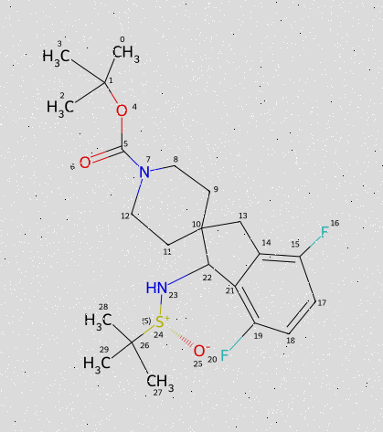 CC(C)(C)OC(=O)N1CCC2(CC1)Cc1c(F)ccc(F)c1C2N[S@+]([O-])C(C)(C)C